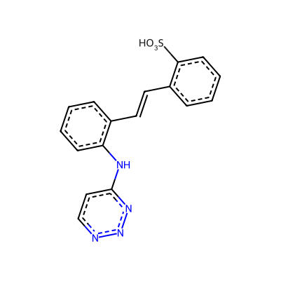 O=S(=O)(O)c1ccccc1/C=C/c1ccccc1Nc1ccnnn1